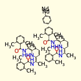 CC(NC(=O)c1c(C)cccc1C)=C1C=CCC(=C(C)NC(=O)c2c(C)cccc2C)N1.CC(NC(=O)c1c(C)cccc1C)=C1C=CCC(=C(C)NC(=O)c2c(C)cccc2C)N1.[Nd].[Nd][c]1ccccc1